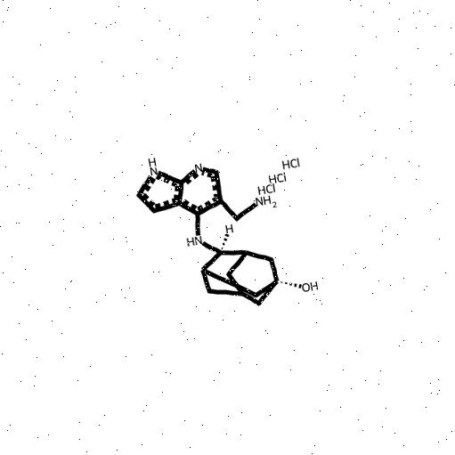 Cl.Cl.Cl.NCc1cnc2[nH]ccc2c1N[C@H]1C2CC3CC1C[C@](O)(C3)C2